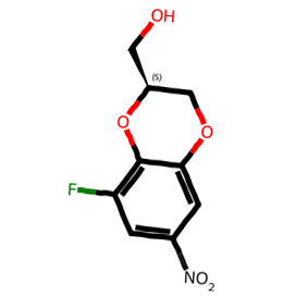 O=[N+]([O-])c1cc(F)c2c(c1)OC[C@H](CO)O2